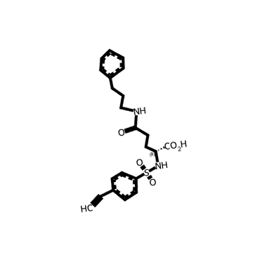 C#Cc1ccc(S(=O)(=O)N[C@H](CCC(=O)NCCCc2ccccc2)C(=O)O)cc1